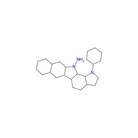 NN1C2CC3CCCCC3CC2C2CCC3CCN(C4CCCCC4)C3C21